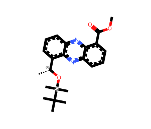 COC(=O)c1cccc2nc3c([C@@H](C)O[Si](C)(C)C(C)(C)C)cccc3nc12